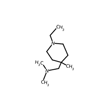 CCN1CCC(C)(CN(C)C)CC1